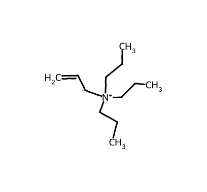 C=C[CH][N+](CCC)(CCC)CCC